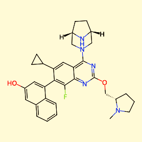 CN1CCC[C@H]1COc1nc(N2C[C@H]3CC[C@@H](C2)N3)c2cc(C3CC3)c(-c3cc(O)cc4ccccc34)c(F)c2n1